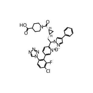 O=C(O)C1CCN(C(=O)[C@@H]2C[C@@H]2CC(c2ccc(-c3c(-n4cnnn4)ccc(Cl)c3F)c[n+]2[O-])n2cc(-c3ccccc3)cn2)CC1